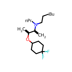 C=C(OC1CCC(F)(F)CC1)C(=C)N(CCC)CCC(C)CC